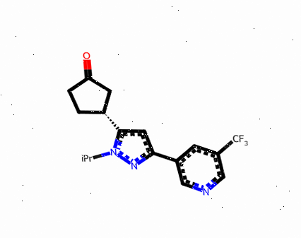 CC(C)n1nc(-c2cncc(C(F)(F)F)c2)cc1[C@@H]1CCC(=O)C1